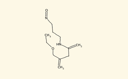 C=C(COCC)CC(=C)NCCCN=O